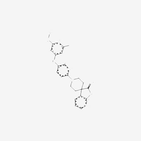 Cc1cc(Nc2ccc(N3CCC4(CC3)C(=O)Nc3ncccc34)nc2)cc(OC(C)C)n1